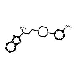 COc1cccc(N2CCN(CCC(N)c3nc4ccccc4s3)CC2)c1